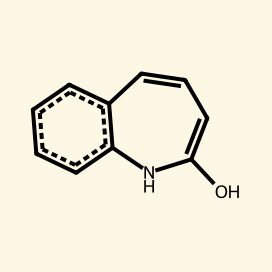 OC1=CC=Cc2ccccc2N1